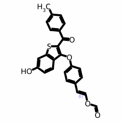 Cc1ccc(C(=O)c2sc3cc(O)ccc3c2Oc2ccc(/C=C/OC=O)cc2)cc1